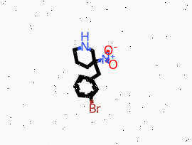 O=[N+]([O-])C1(Cc2cccc(Br)c2)CCCNC1